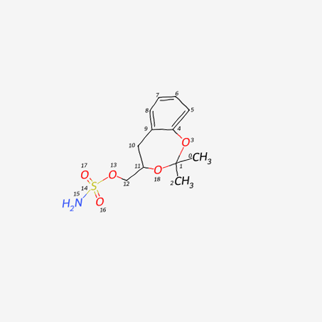 CC1(C)Oc2ccccc2CC(COS(N)(=O)=O)O1